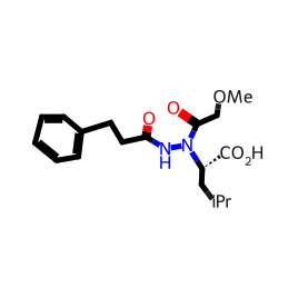 COCC(=O)N(NC(=O)CCc1ccccc1)[C@@H](CC(C)C)C(=O)O